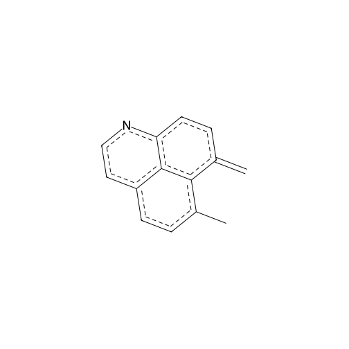 C=c1ccc2nccc3ccc(C)c1c32